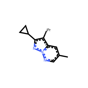 Cc1cnn2nc(C3CC3)c(C(C)C)c2c1